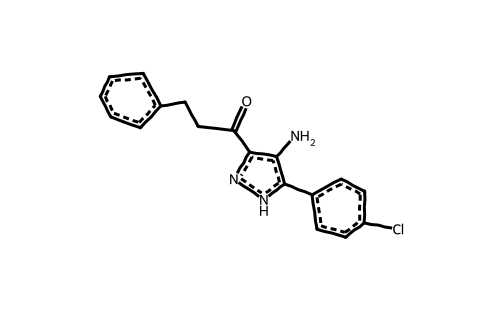 Nc1c(C(=O)CCc2ccccc2)n[nH]c1-c1ccc(Cl)cc1